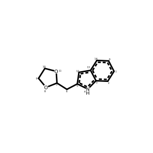 c1ccc2[nH]c(CC3OCCO3)cc2c1